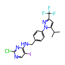 CC(C)c1cc(C(F)(F)F)nn1-c1ccc(CNc2nc(Cl)ncc2I)cc1